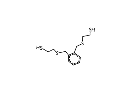 SCCSCc1ccccc1CSCCS